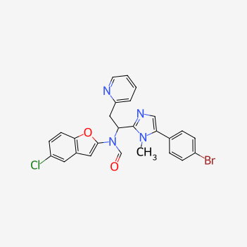 Cn1c(-c2ccc(Br)cc2)cnc1C(Cc1ccccn1)N(C=O)c1cc2cc(Cl)ccc2o1